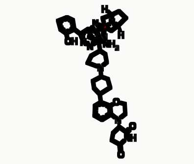 Nc1nnc(-c2ccccc2O)cc1N1C[C@H]2CC[C@@H](C1)N2c1nccc(C2CCN(C3CCC(c4cccc5c4OCCN5[C@H]4CCC(=O)NC4=O)CC3)CC2)n1